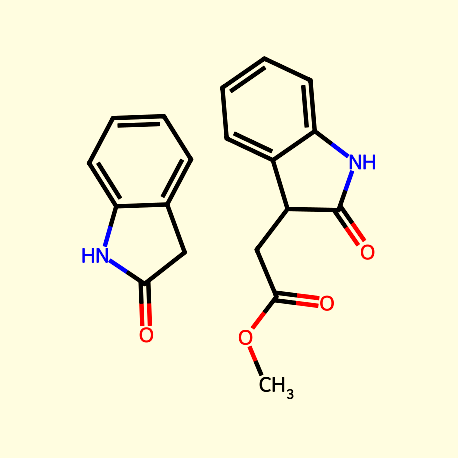 COC(=O)CC1C(=O)Nc2ccccc21.O=C1Cc2ccccc2N1